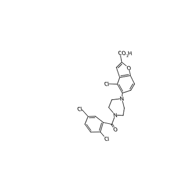 O=C(O)c1cc2c(Cl)c(N3CCN(C(=O)c4cc(Cl)ccc4Cl)CC3)ccc2o1